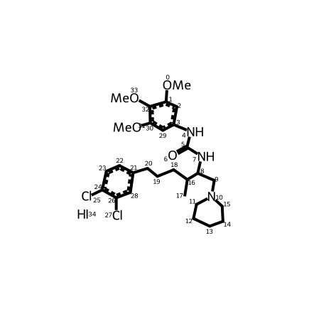 COc1cc(NC(=O)NC(CN2CCCCC2)C(C)CCCc2ccc(Cl)c(Cl)c2)cc(OC)c1OC.I